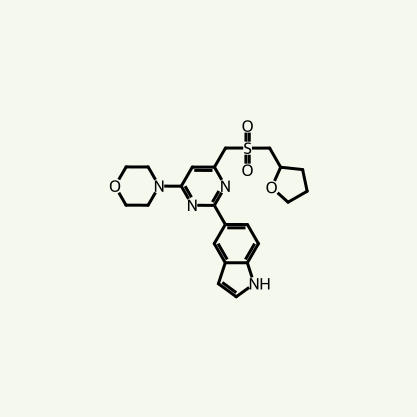 O=S(=O)(Cc1cc(N2CCOCC2)nc(-c2ccc3[nH]ccc3c2)n1)CC1CCCO1